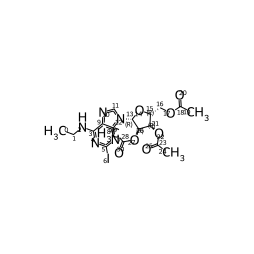 CCNc1nc(I)nc2c1ncn2[C@@H]1O[C@H](COC(C)=O)[C@@H](OC(C)=O)[C@H]1OC(C)=O